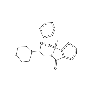 CC(CN1C(=O)c2ccccc2S1(=O)=O)N1CCSCC1.c1ccccc1